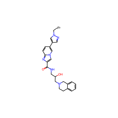 CC(C)Cn1cc(-c2ccc3nc(C(=O)NCC(O)CN4CCc5ccccc5C4)cn3c2)cn1